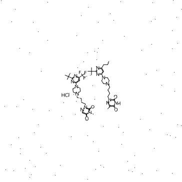 CCCc1cc(N2CCN(CCCCn3nc(C)c(=O)[nH]c3=O)CC2)nc(C(C)(C)C)n1.Cl.Cn1c(=O)cnn(CCCCN2CCN(c3cc(C(F)(F)F)nc(C(C)(C)C)n3)CC2)c1=O